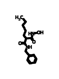 CCCCCC(C(=O)NO)C(=O)NCc1ccccc1